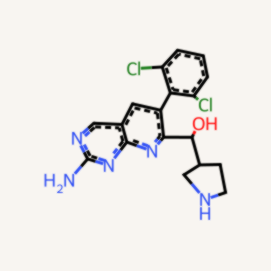 Nc1ncc2cc(-c3c(Cl)cccc3Cl)c(C(O)C3CCNC3)nc2n1